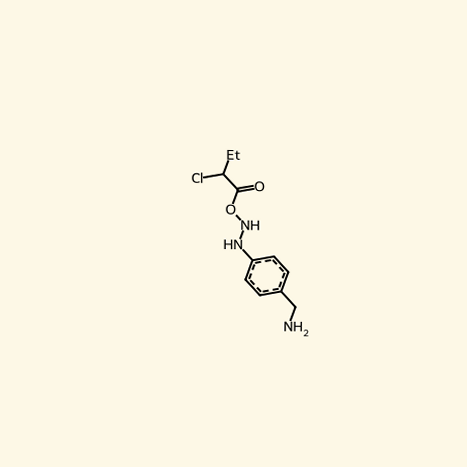 CCC(Cl)C(=O)ONNc1ccc(CN)cc1